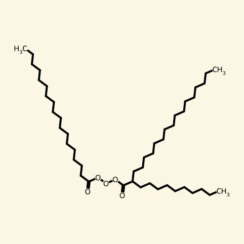 CCCCCCCCCCCCCCCCCC(=O)OOOC(=O)C(CCCCCCCCCC)CCCCCCCCCCCCCCCC